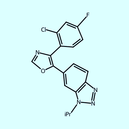 CC(C)n1nnc2ccc(-c3ocnc3-c3ccc(F)cc3Cl)cc21